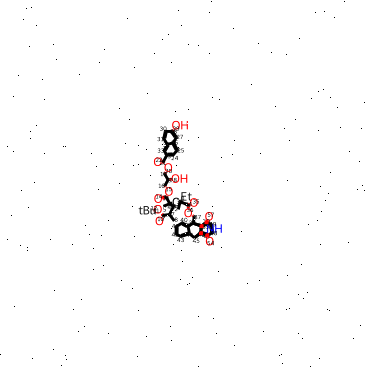 CCC(C)(CC(C)(CC(C)C(=O)OC(C)(C)C)C(=O)OCC(O)COC(=O)c1ccc2cc(O)ccc2c1)C(=O)OCC12c3ccccc3C(c3ccccc31)C1C(=O)NC(=O)C12